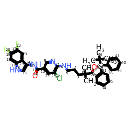 CC(C)(CCCNc1ncc(C(=O)Nc2c[nH]c3cc(F)c(F)cc23)cc1Cl)CO[Si](c1ccccc1)(c1ccccc1)C(C)(C)C